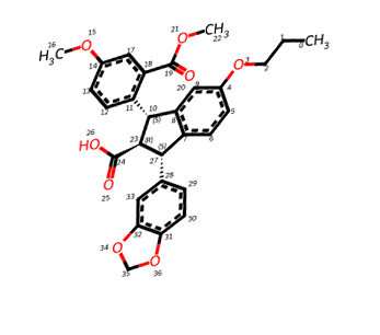 CCCOc1ccc2c(c1)[C@@H](c1ccc(OC)cc1C(=O)OC)[C@H](C(=O)O)[C@H]2c1ccc2c(c1)OCO2